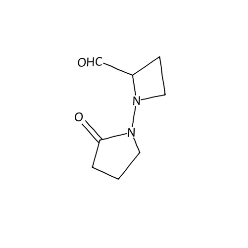 O=CC1CCN1N1CCCC1=O